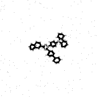 c1ccc(-c2ccc(-c3nc(-c4ccc5ccccc5c4)nn3-c3ccc(-n4c5ccccc5c5ccccc54)cc3)cc2)cc1